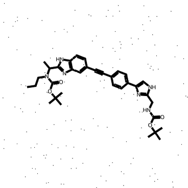 CCCN(C(=O)OC(C)(C)C)C(C)c1nc2cc(C#Cc3ccc(-c4c[nH]c(CNC(=O)OC(C)(C)C)n4)cc3)ccc2[nH]1